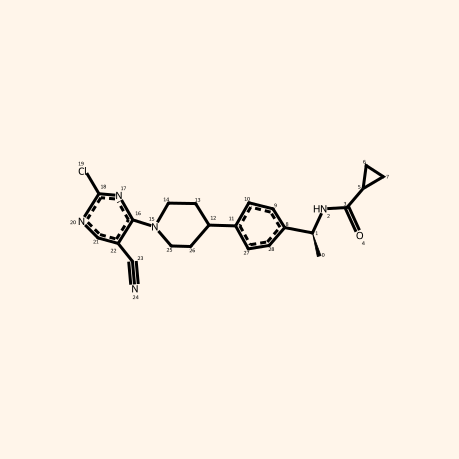 C[C@H](NC(=O)C1CC1)c1ccc(C2CCN(c3nc(Cl)ncc3C#N)CC2)cc1